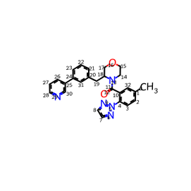 Cc1ccc(-n2nccn2)c(C(=O)N2CCOCC2Cc2cccc(-c3cccnc3)c2)c1